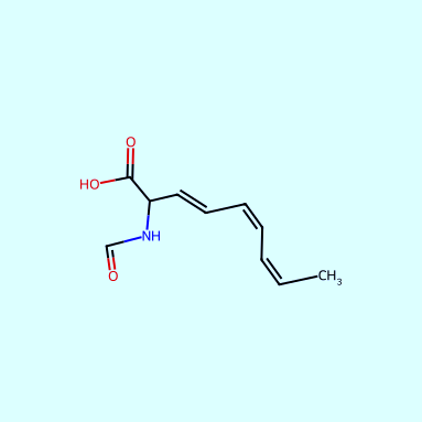 C\C=C/C=C\C=C\C(NC=O)C(=O)O